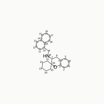 c1ccc2c(c1)CC(NCc1cccc3ccccc13)C1(CCCCC1)O2